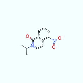 [CH2]C([CH2])n1ccc2c([N+](=O)[O-])cccc2c1=O